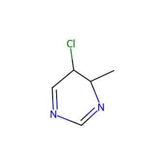 CC1N=CN=CC1Cl